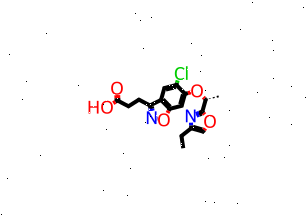 CCc1coc([C@@H](C)Oc2cc3onc(CCC(=O)O)c3cc2Cl)n1